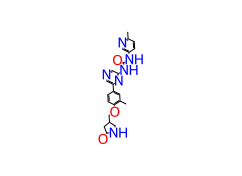 Cc1ccc(NC(=O)Nc2cncc(-c3ccc(OCC4CNC(=O)C4)c(C)c3)n2)cn1